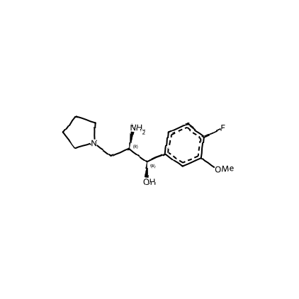 COc1cc([C@@H](O)[C@H](N)CN2CCCC2)ccc1F